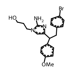 COc1ccc(C(Cc2ccc(Br)cc2)c2cn(CCCO)c(N)n2)cc1